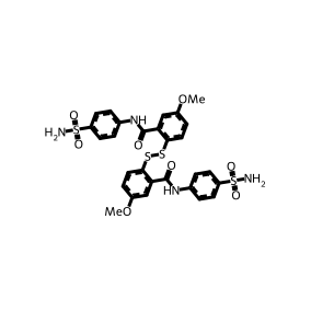 COc1ccc(SSc2ccc(OC)cc2C(=O)Nc2ccc(S(N)(=O)=O)cc2)c(C(=O)Nc2ccc(S(N)(=O)=O)cc2)c1